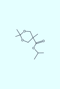 CC(C)OC(=O)C1(C)COC(C)(C)OC1